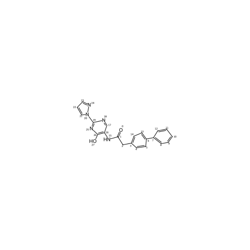 O=C(Cc1ccc(-c2ccccc2)cc1)Nc1cnc(-n2cccn2)nc1O